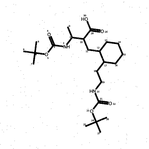 CC(NC(=O)OC(C)(C)C)C(CC1CCCCC1CCNC(=O)OC(C)(C)C)C(=O)O